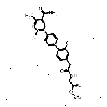 COC(=O)CNC(=O)Cc1ccc(-c2ccc(-c3nc(C(N)=O)c(C)nc3C)cc2)c(Cl)c1